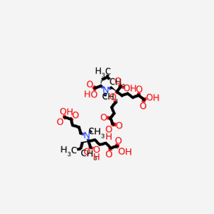 CC(C)C[C@@H](C(=O)O)N(C)C[C@@](CCCC(=O)C(=O)O)(OCCCC(=O)C(=O)O)C(=O)O.CC(C)C[C@@](CCCC(=O)C(=O)O)(C(=O)O)N(C)CCCC(=O)C(=O)O